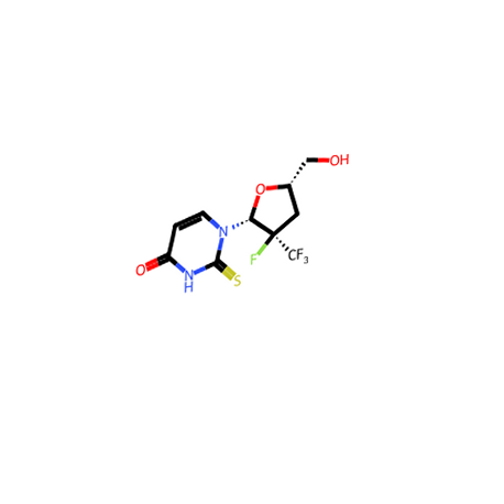 O=c1ccn([C@@H]2O[C@H](CO)C[C@]2(F)C(F)(F)F)c(=S)[nH]1